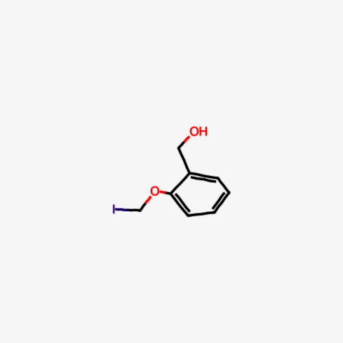 OCc1ccccc1OCI